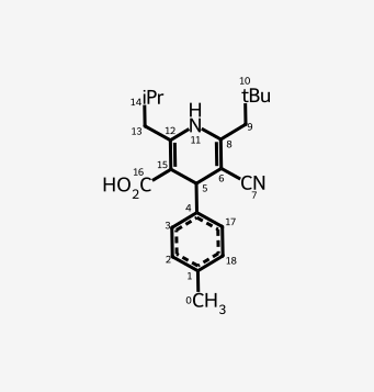 Cc1ccc(C2C(C#N)=C(CC(C)(C)C)NC(CC(C)C)=C2C(=O)O)cc1